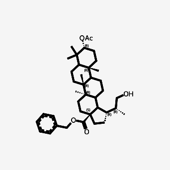 CC(=O)O[C@@H]1CC[C@@]2(C)C(CC[C@]3(C)C2CCC2C4[C@H]([C@@H](C)CO)CC[C@]4(C(=O)OCc4ccccc4)CC[C@]23C)C1(C)C